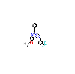 COc1ccc(/N=C(/C#Cc2ccccc2)N2CCN(Cc3cccc(C(F)(F)F)c3)CC2)cc1